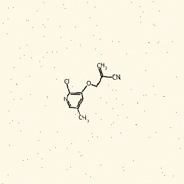 C=C(C#N)COc1cc(C)cnc1Cl